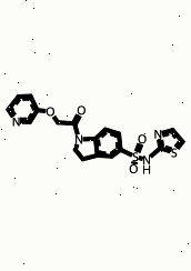 O=C(COc1cccnc1)N1CCc2cc(S(=O)(=O)Nc3nccs3)ccc21